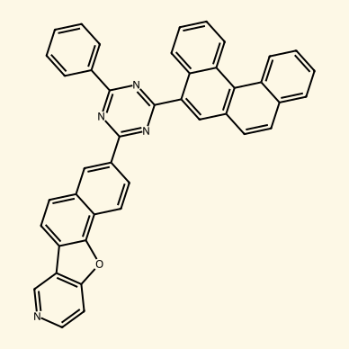 c1ccc(-c2nc(-c3ccc4c(ccc5c6cnccc6oc45)c3)nc(-c3cc4ccc5ccccc5c4c4ccccc34)n2)cc1